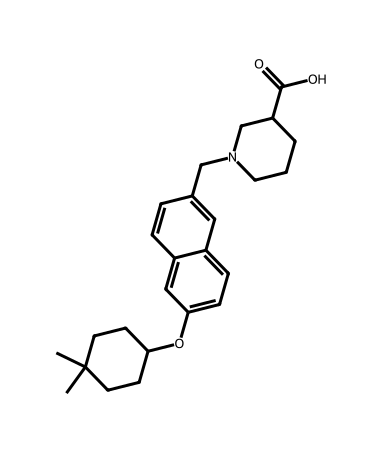 CC1(C)CCC(Oc2ccc3cc(CN4CCCC(C(=O)O)C4)ccc3c2)CC1